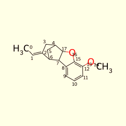 C/C=C1\CC2CC1C1c3cccc(OC)c3OC21